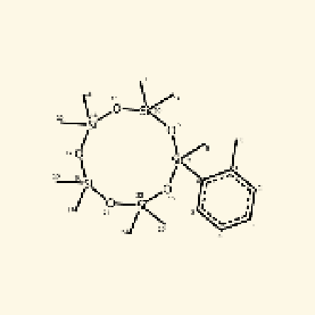 Cc1ccccc1[Si]1(C)O[Si](C)(C)O[Si](C)(C)O[Si](C)(C)O[Si](C)(C)O1